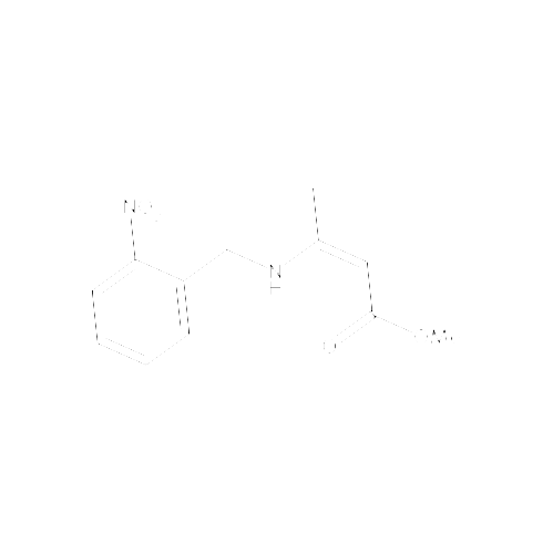 COC(=O)/C=C(/C)NCc1ccccc1[N+](=O)[O-]